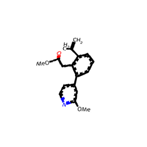 C=C(C)c1cccc(-c2ccnc(OC)c2)c1CC(=O)OC